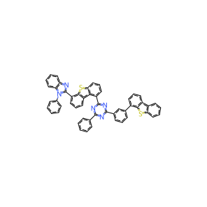 c1ccc(-c2nc(-c3cccc(-c4cccc5c4sc4ccccc45)c3)nc(-c3cccc4sc5c(-c6nc7ccccc7n6-c6ccccc6)cccc5c34)n2)cc1